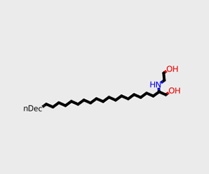 CCCCCCCCCCCCCCCCCCCCCCCCCCCCC(CO)NCCO